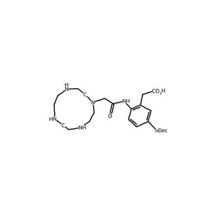 CCCCCCCCCCc1ccc(NC(=O)CN2CCNCCNCCNCC2)c(CC(=O)O)c1